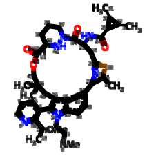 CNCCn1c(-c2cccnc2[C@H](C)OC)c2c3cc(ccc31)C1N=C(C[C@H](NC(=O)[C@H]3[C@H](C)[C@@H]3C)C(=O)N3CCC[C@H](N3)C(=O)OCC(C)(C)C2)SC1C